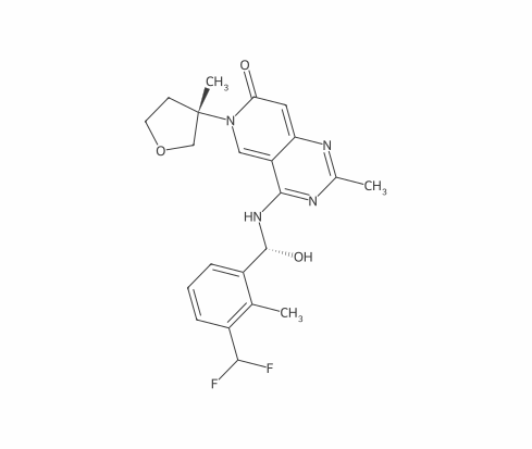 Cc1nc(N[C@H](O)c2cccc(C(F)F)c2C)c2cn([C@@]3(C)CCOC3)c(=O)cc2n1